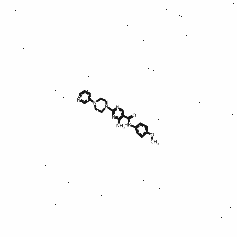 COc1ccc(NC(=O)c2cnc(N3CCN(c4cccnc4)CC3)nc2N)cc1